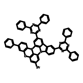 CC(C)c1cc2c3c(c1)-n1c4ccc(-c5nc(-c6ccccc6)nc(-c6ccccc6)n5)cc4c4cc(-c5nc(-c6ccccc6)nc(-c6ccccc6)n5)cc(c41)B3c1ccc(-c3ccccc3)cc1O2